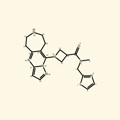 CN(Cc1nccs1)C(=O)C1CN(c2c3c(nc4ccnn24)CCNCC3)C1